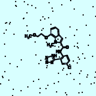 COCCOc1cccc2cc(C(=O)Nc3ccc(Cl)cc3-c3nnn[nH]3)n(C)c12